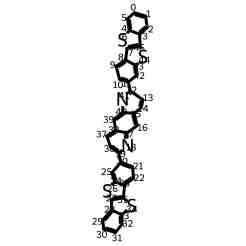 c1ccc2c(c1)sc1c3ccc(-c4ccc5cc6nc(-c7ccc8c(c7)sc7c9ccccc9sc87)ccc6cc5n4)cc3sc21